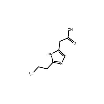 CCCc1ncc(CC(=O)O)[nH]1